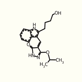 CC(C)OC1=NNC(=O)C1=Cc1c(CCCCO)[nH]c2ccccc12